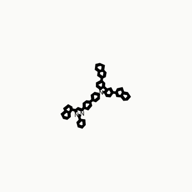 c1ccc(-c2nc(-c3ccc(-c4ccc(-n5c6ccc(-c7ccc8ccccc8c7)cc6c6cc(-c7ccc8ccccc8c7)ccc65)cc4)cc3)cc(-c3cccc4ccccc34)n2)cc1